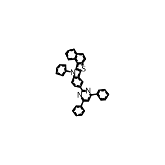 c1ccc(-c2cc(-c3ccccc3)nc(-c3ccc4c(c3)c3sc5ccc6ccccc6c5c3n4-c3ccccc3)n2)cc1